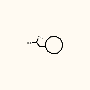 CC(C)C[C]1CCCCCCCCC1